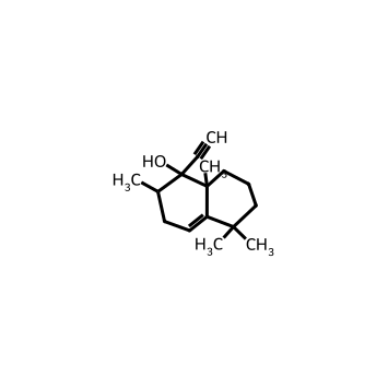 C#CC1(O)C(C)CC=C2C(C)(C)CCCC21C